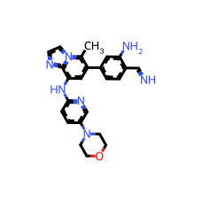 Cc1c(-c2ccc(C=N)c(N)c2)cc(Nc2ccc(N3CCOCC3)cn2)c2nccn12